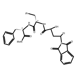 CCC(CC(S)C(=O)N[C@@H](CC(C)C)C(=O)N[C@@H](Cc1ccccc1)C(=O)NC)N1C(=O)c2ccccc2C1=O